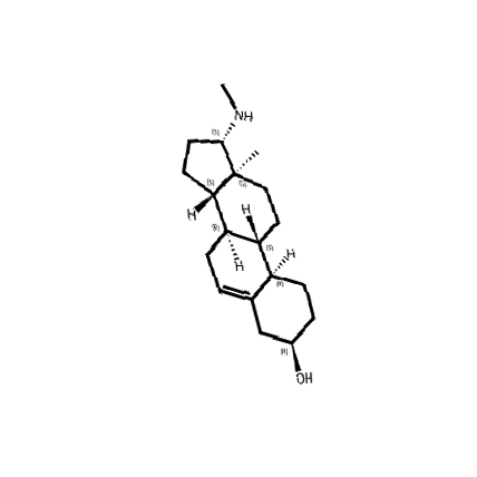 CN[C@H]1CC[C@H]2[C@@H]3CC=C4C[C@H](O)CC[C@@H]4[C@H]3CC[C@]12C